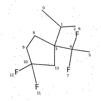 CC(C)C1(C(C)(F)F)CCC(F)(F)C1